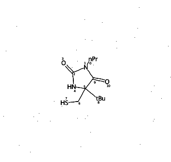 CCCN1C(=O)NC(CS)(C(C)(C)C)C1=O